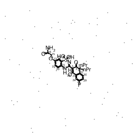 CCCC1(CCC)C(=O)C(C2=NS(O)(O)c3cc(OCC(N)=O)ccc3N2)=C(O)c2cc(F)ccc21